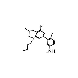 CCCCN1CC(C)Cc2c(F)cc(-c3cc(NC)ccc3C)cc21